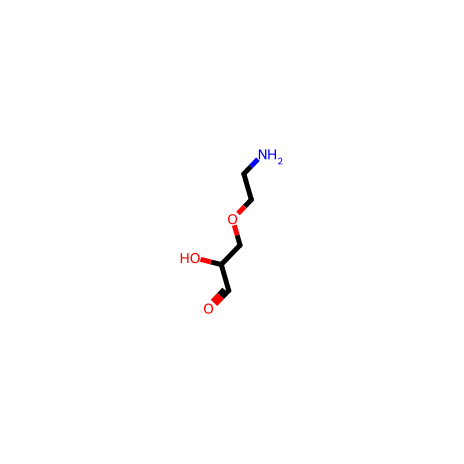 NCCOCC(O)C=O